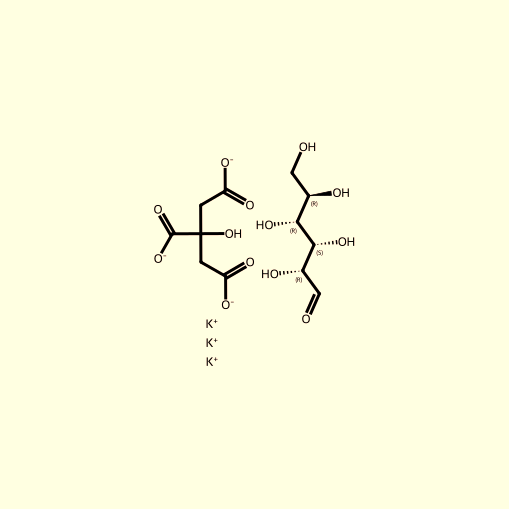 O=C([O-])CC(O)(CC(=O)[O-])C(=O)[O-].O=C[C@H](O)[C@@H](O)[C@H](O)[C@H](O)CO.[K+].[K+].[K+]